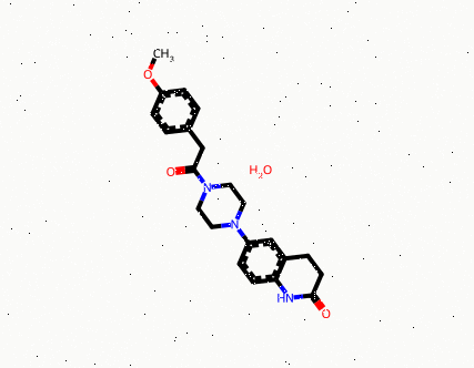 COc1ccc(CC(=O)N2CCN(c3ccc4c(c3)CCC(=O)N4)CC2)cc1.O